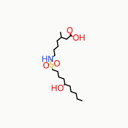 CCCCCC(O)CCCCS(=O)(=O)NCCCCC(C)CC(=O)O